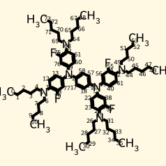 CCCCCN(CCCCC)c1ccc(N(c2ccc(N(c3ccc(N(CCCCC)CCCCC)c(F)c3)c3ccc(N(CCCCC)CCCCC)c(F)c3)cc2)c2ccc(N(CCCCC)CCCCC)c(F)c2)cc1F